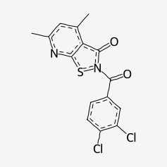 Cc1cc(C)c2c(=O)n(C(=O)c3ccc(Cl)c(Cl)c3)sc2n1